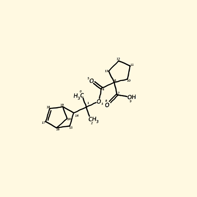 CC(C)(OC(=O)C1(C(=O)O)CCCC1)C1CC2C=CC1C2